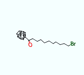 O=C(CCCCCCCCCCBr)[C]12[CH]3[CH]4[CH]5[CH]1[Fe]45321678[CH]2[CH]1[CH]6[CH]7[CH]28